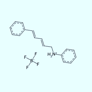 C(C=Cc1ccccc1)=CC[NH2+]c1ccccc1.F[B-](F)(F)F